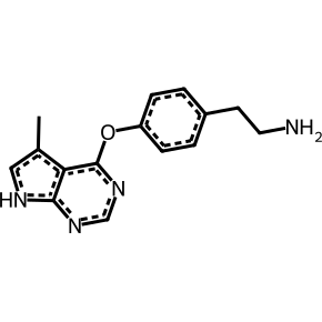 Cc1c[nH]c2ncnc(Oc3ccc(CCN)cc3)c12